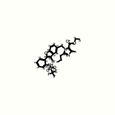 CCCc1nc(C)c(C(=O)OCC)n1Cc1ccc2oc(-c3ccccc3NS(=O)(=O)C(F)(F)F)c(Br)c2c1